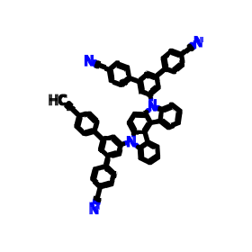 C#Cc1ccc(-c2cc(-c3ccc(C#N)cc3)cc(-n3c4ccccc4c4c5c6ccccc6n(-c6cc(-c7ccc(C#N)cc7)cc(-c7ccc(C#N)cc7)c6)c5ccc43)c2)cc1